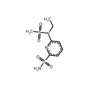 CCN(c1cccc(S(N)(=O)=O)n1)S(C)(=O)=O